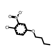 CCCCOc1ccc(Cl)c([N+](=O)[O-])c1